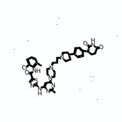 Cc1nc(Nc2ncc(C(=O)Nc3c(C)cccc3Cl)s2)cc(N2CCN(CCCN3CCC(c4ccc(C5CCC(=O)NC5=O)cc4)CC3)CC2)n1